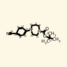 CC(C)(C)OC(=O)N1CCCN(c2ccc(C#N)cc2)CC1